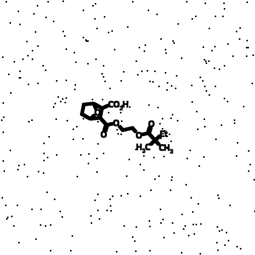 CCC(C)(C)C(=O)OCCOC(=O)C1C2CCC(O2)C1C(=O)O